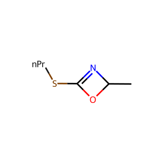 CCCSC1=NC(C)O1